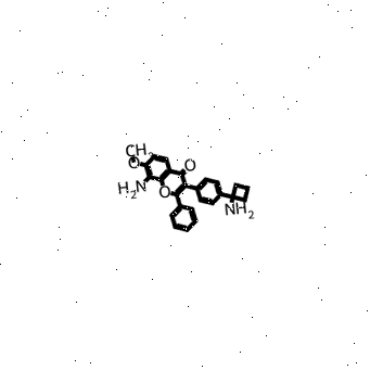 COc1ccc2c(=O)c(-c3ccc(C4(N)CCC4)cc3)c(-c3ccccc3)oc2c1N